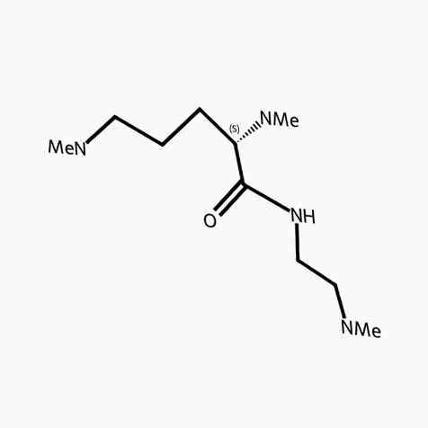 CNCCC[C@H](NC)C(=O)NCCNC